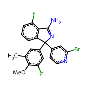 COc1c(C)cc(C2(c3ccnc(Br)c3)N=C(N)c3c(F)cccc32)cc1F